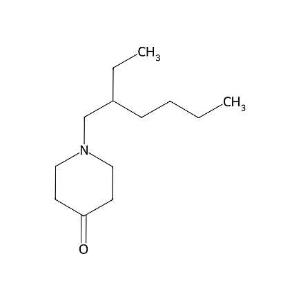 CCCCC(CC)CN1CCC(=O)CC1